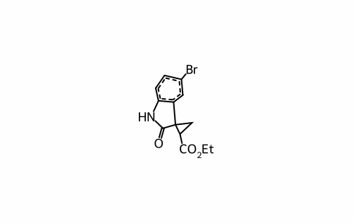 CCOC(=O)C1CC12C(=O)Nc1ccc(Br)cc12